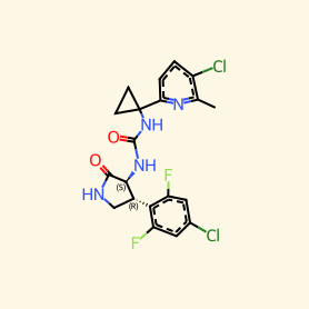 Cc1nc(C2(NC(=O)N[C@@H]3C(=O)NC[C@H]3c3c(F)cc(Cl)cc3F)CC2)ccc1Cl